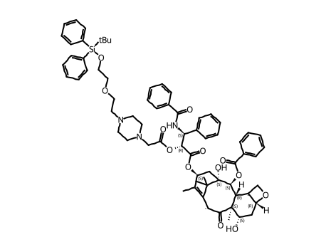 CC1=C2[CH]C(=O)[C@]3(C)[C@@H](O)C[C@H]4OC[C]4[C@H]3[C@H](OC(=O)c3ccccc3)[C@](O)(C[C@@H]1OC(=O)[C@H](OC(=O)CN1CCN(CCOCCO[Si](c3ccccc3)(c3ccccc3)C(C)(C)C)CC1)[C@@H](NC(=O)c1ccccc1)c1ccccc1)C2(C)C